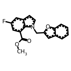 COC(=O)c1cc(F)cc2ccn(Cc3cc4ccccc4o3)c12